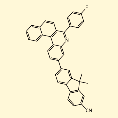 CC1(C)c2cc(C#N)ccc2-c2ccc(-c3ccc4c(c3)nc(-c3ccc(F)cc3)c3ccc5ccccc5c34)cc21